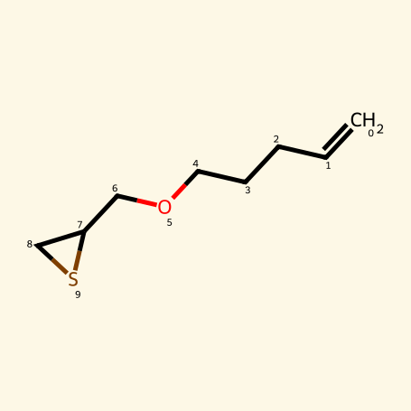 C=CCCCOCC1CS1